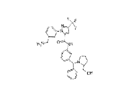 NCc1cccc(-n2nc(C(F)(F)F)cc2C(=O)Nc2cccc(C(c3ccccc3)N3CCCC3CO)c2)c1